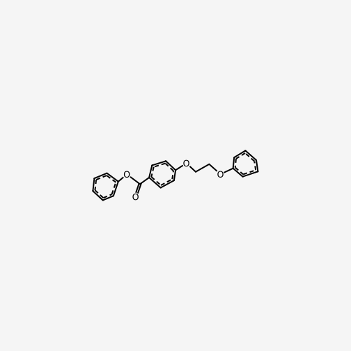 O=C(Oc1ccccc1)c1ccc(OCCOc2ccccc2)cc1